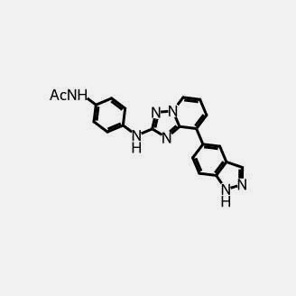 CC(=O)Nc1ccc(Nc2nc3c(-c4ccc5[nH]ncc5c4)cccn3n2)cc1